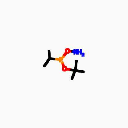 CC(C)P(ON)OC(C)(C)C